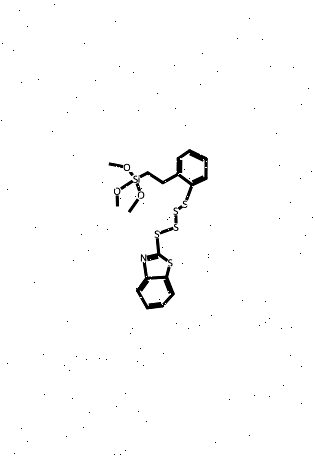 CO[Si](CCc1ccccc1SSSSc1nc2ccccc2s1)(OC)OC